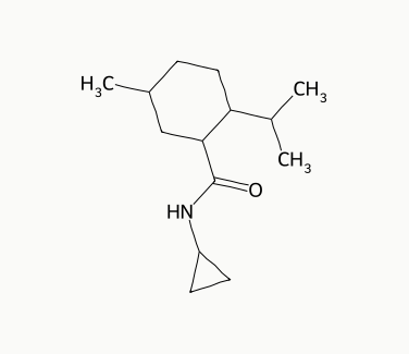 CC1CCC(C(C)C)C(C(=O)NC2CC2)C1